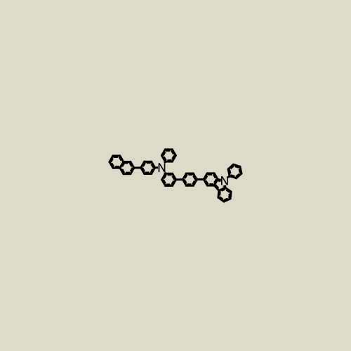 c1ccc(N(c2ccc(-c3ccc4ccccc4c3)cc2)c2cccc(-c3ccc(-c4ccc5c(c4)c4ccccc4n5-c4ccccc4)cc3)c2)cc1